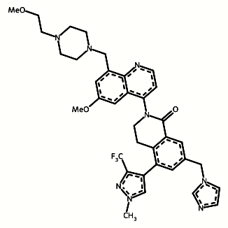 COCCN1CCN(Cc2cc(OC)cc3c(N4CCc5c(cc(Cn6ccnc6)cc5-c5cn(C)nc5C(F)(F)F)C4=O)ccnc23)CC1